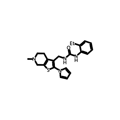 CCc1ccccc1NC(=O)NCc1c(-n2cccc2)sc2c1CCN(C)C2